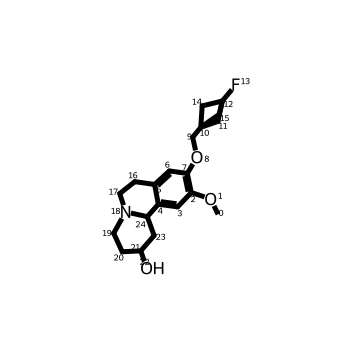 COc1cc2c(cc1OCC13CC(F)(C1)C3)CCN1CCC(O)CC21